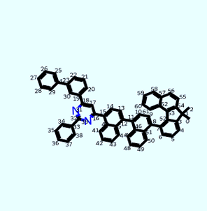 CC1(C)c2cccc(-c3ccc(-c4ccc(-c5cc(-c6cccc(-c7ccccc7)c6)nc(-c6ccccc6)n5)c5ccccc45)c4ccccc34)c2-c2c1ccc1ccccc21